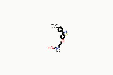 CCN(CCO)CCCCOc1ccc2c(-c3ccc(C(F)(F)F)cc3)nsc2c1